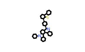 c1ccc(-n2c3ccccc3c3c4c(ccc32)c(-c2ccc(-c3cccc5c3sc3ccccc35)cc2)nc2ccccc24)cc1